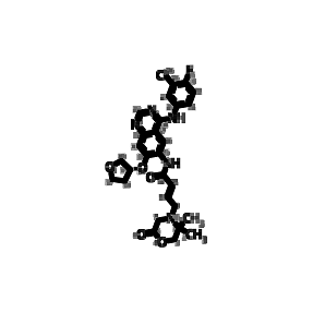 CC1(C)COC(=O)CN1C/C=C/C(=O)Nc1cc2c(Nc3ccc(F)c(Cl)c3)ncnc2cc1O[C@@H]1CCOC1